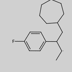 C[CH]C(CC1CCCCCC1)c1ccc(F)cc1